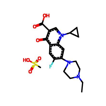 CCN1CCN(c2cc3c(cc2F)c(=O)c(C(=O)O)cn3C2CC2)CC1.CS(=O)(=O)O